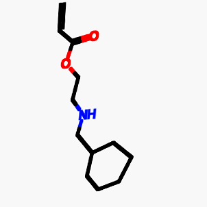 C=CC(=O)OCCNCC1CCCCC1